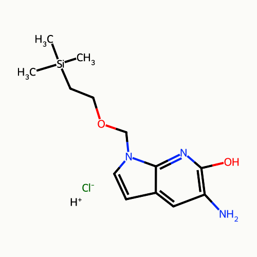 C[Si](C)(C)CCOCn1ccc2cc(N)c(O)nc21.[Cl-].[H+]